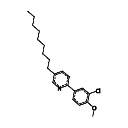 CCCCCCCCCc1ccc(-c2ccc(OC)c(Cl)c2)nc1